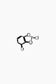 O=C1CC=CC2=C1OP(Cl)O2